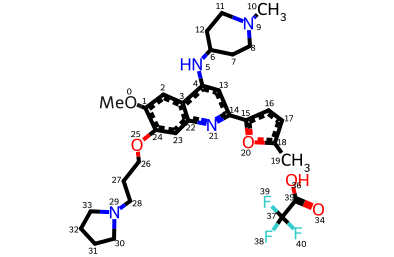 COc1cc2c(NC3CCN(C)CC3)cc(-c3ccc(C)o3)nc2cc1OCCCN1CCCC1.O=C(O)C(F)(F)F